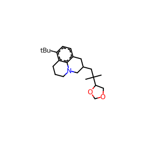 CC(C)(C)c1ccc2c3c1CCCN3CC(CC(C)(C)C1COCO1)C2